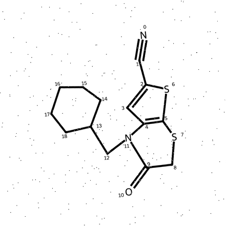 N#Cc1cc2c(s1)SCC(=O)N2CC1CCCCC1